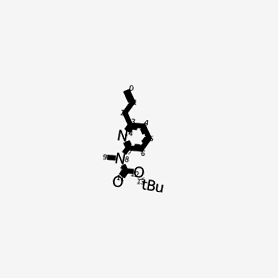 C=CCc1cccc(N(C)C(=O)OC(C)(C)C)n1